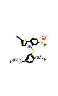 COc1ccc(C(=O)O)cc1SNc1cc([S+](C)[O-])ccc1-c1ccc(C)s1